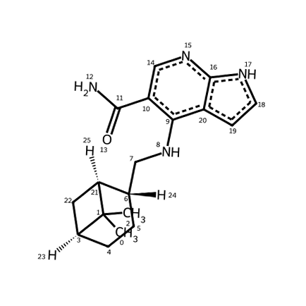 CC1(C)[C@H]2CC[C@@H](CNc3c(C(N)=O)cnc4[nH]ccc34)[C@@H]1C2